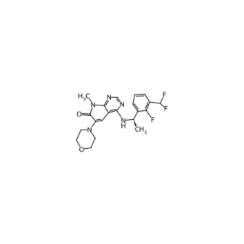 C[C@@H](Nc1ncnc2c1cc(N1CCOCC1)c(=O)n2C)c1cccc(C(F)F)c1F